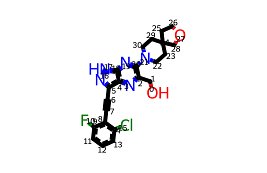 OCc1nc2c(C#Cc3c(F)cccc3Cl)n[nH]c2nc1N1CCC2(CCOC2)CC1